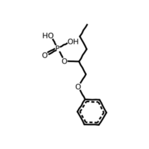 CCCC(COc1ccccc1)OP(=O)(O)O